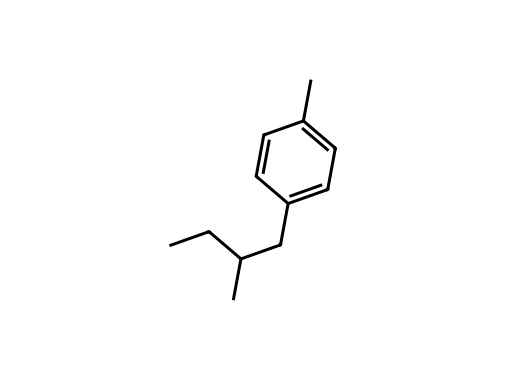 CCC(C)Cc1ccc(C)cc1